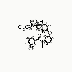 O=C(Nc1cccc(Oc2ccc3nc(N(CC(Cl)(Cl)Cl)C(=O)O)cn3n2)c1)c1cccc(C(F)(F)F)c1